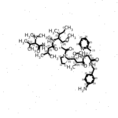 CC[C@H](C)C([C@@H](CC(=O)N1CCC[C@H]1[C@H](OC)[C@@H](C)C(=O)N[C@H](Cc1ccccn1)C(=O)NCc1ccc(N)cc1)OC)N(C)C(=O)[C@@H](NC(=O)C(C(C)C)N(C)C)C(C)C